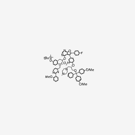 COc1ccc(C(OCC(CN2CCN(C)CC2)Oc2ccc(-c3c(-c4ccc(F)cc4)oc4ncnc(OC(Cc5cc(O[Si](C)(C)C(C)(C)C)ccc5OCc5ccnc(-c6ccccc6OC)n5)C(=O)O)c34)cc2)(c2ccccc2)c2ccc(OC)cc2)cc1